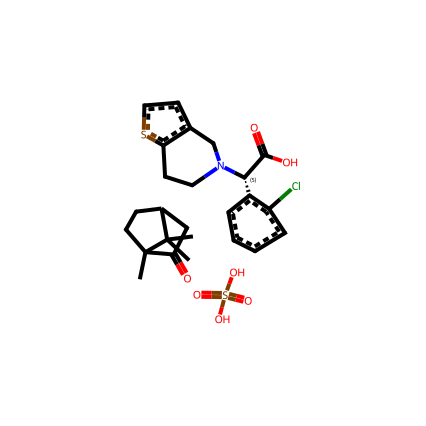 CC12CCC(CC1=O)C2(C)C.O=C(O)[C@H](c1ccccc1Cl)N1CCc2sccc2C1.O=S(=O)(O)O